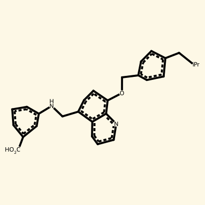 CC(C)Cc1ccc(COc2ccc(CNc3cccc(C(=O)O)c3)c3cccnc23)cc1